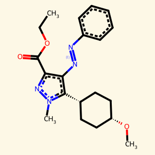 CCOC(=O)c1nn(C)c([C@H]2CC[C@@H](OC)CC2)c1/N=N/c1ccccc1